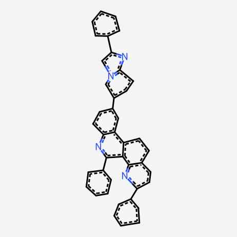 c1ccc(-c2ccc3ccc4c5cc(-c6ccc7nc(-c8ccccc8)cn7c6)ccc5nc(-c5ccccc5)c4c3n2)cc1